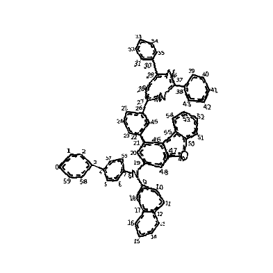 c1ccc(-c2ccc(N(c3ccc4ccccc4c3)c3cc(-c4cccc(-c5cc(-c6ccccc6)nc(-c6ccccc6)n5)c4)c4c(c3)oc3ccccc34)cc2)cc1